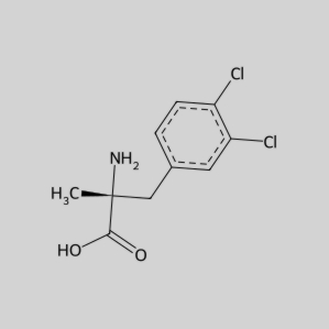 C[C@@](N)(Cc1ccc(Cl)c(Cl)c1)C(=O)O